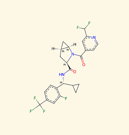 O=C(N[C@@H](c1ccc(C(F)(F)F)cc1F)C1CC1)[C@H]1C[C@H]2C[C@H]2N1C(=O)c1ccnc(C(F)F)c1